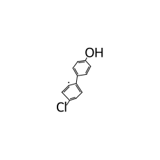 Oc1ccc(-c2[c]cc(Cl)cc2)cc1